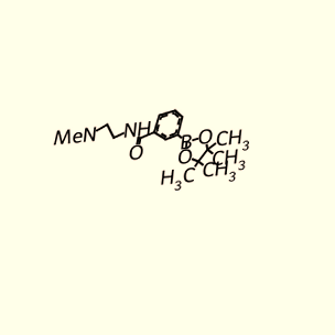 CNCCNC(=O)c1cccc(B2OC(C)(C)C(C)(C)O2)c1